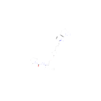 CC1CCC(C)N1C(=O)N[C@@H](CCOC1CC(CCc2ccc3c(n2)NCCC3)C1)C(=O)O